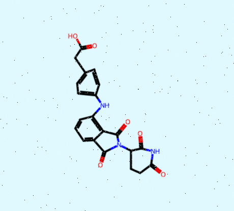 O=C(O)Cc1ccc(Nc2cccc3c2C(=O)N(C2CCC(=O)NC2=O)C3=O)cc1